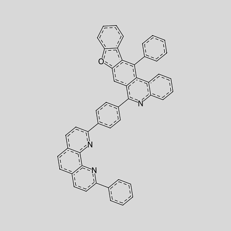 c1ccc(-c2ccc3ccc4ccc(-c5ccc(-c6nc7ccccc7c7c(-c8ccccc8)c8c(cc67)oc6ccccc68)cc5)nc4c3n2)cc1